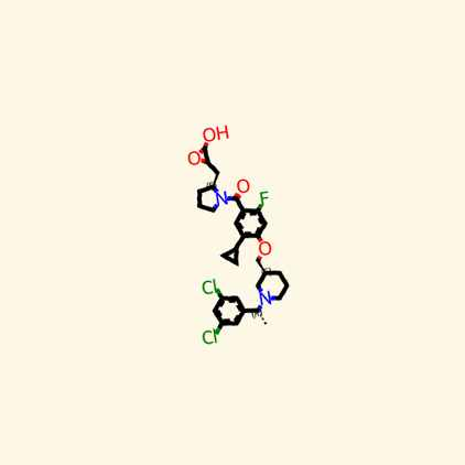 C[C@H](c1cc(Cl)cc(Cl)c1)N1CCC[C@H](COc2cc(F)c(C(=O)N3CCC[C@H]3CC3OC3O)cc2C2CC2)C1